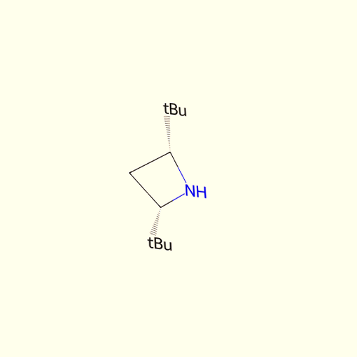 CC(C)(C)[C@@H]1C[C@H](C(C)(C)C)N1